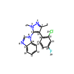 Cc1nn(C)c(-n2cnc3ccccc32)c1-c1ccc(F)cc1Cl